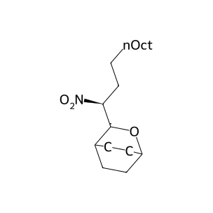 [CH2]CCCCCCCCC[C@@H]([C]1OC2CCC1CC2)[N+](=O)[O-]